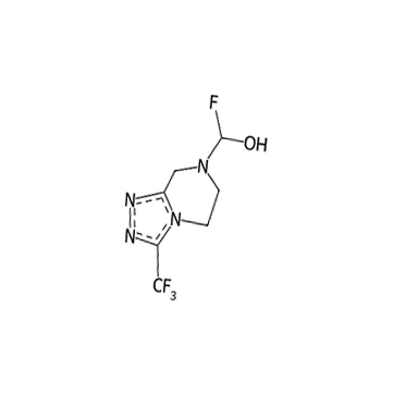 OC(F)N1CCn2c(nnc2C(F)(F)F)C1